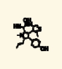 CC=Cc1c(-c2ccc(O)cc2)c(-c2c(C)csc2C)c(C(=N)NO)n1C